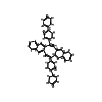 c1ccc2cc3c(cc2c1)/N=C(/c1ccc(-c2ccncc2)nc1)c1cc2ccccc2cc1/N=C\3c1ccc(-c2ccncc2)nc1